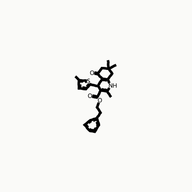 CC1=C(C(=O)OCCc2ccccc2)C(c2ccc(C)s2)C2=C(CC(C)(C)CC2=O)N1